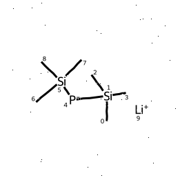 C[Si](C)(C)[P-][Si](C)(C)C.[Li+]